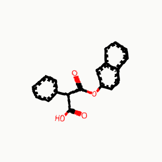 O=C(O)C(C(=O)Oc1ccc2ccccc2c1)c1ccccc1